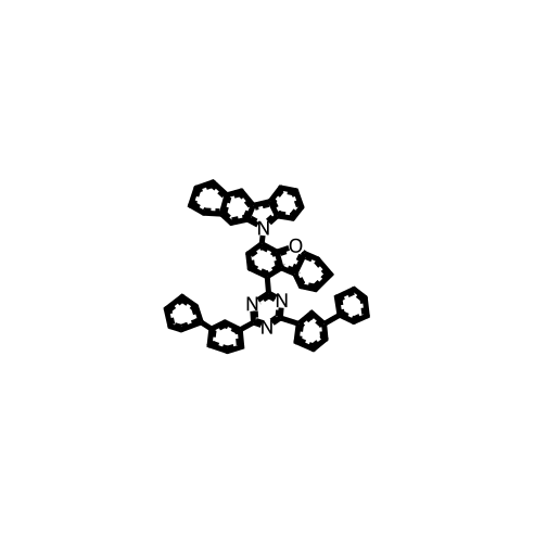 c1ccc(-c2cccc(-c3nc(-c4cccc(-c5ccccc5)c4)nc(-c4ccc(-n5c6ccccc6c6cc7ccccc7cc65)c5oc6ccccc6c45)n3)c2)cc1